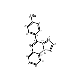 CC(C)(C)c1ccc(-c2nc3ccccc3n3ccnc23)cc1